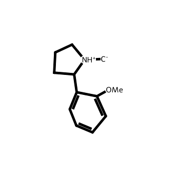 [CH2-][NH+]1CCCC1c1ccccc1OC